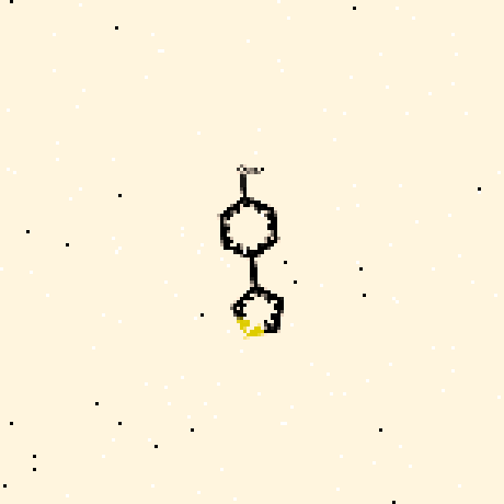 CC(=O)Oc1ccc(-c2ccsc2)cc1